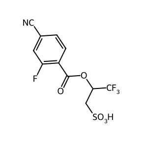 N#Cc1ccc(C(=O)OC(CS(=O)(=O)O)C(F)(F)F)c(F)c1